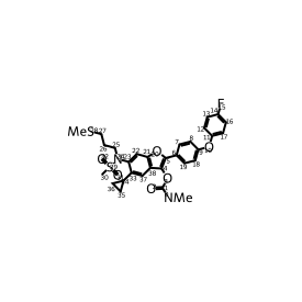 CNC(=O)Oc1c(-c2ccc(Oc3ccc(F)cc3)cc2)oc2cc(N(CCCSC)S(C)(=O)=O)c(C3CC3)cc12